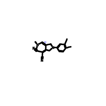 Cc1ccc(N2CC(=C(C#N)C#N)/C(=C\N(C)C)C2)cc1C